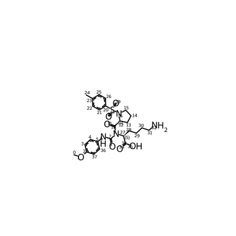 COc1ccc(NC(=O)N(C(=O)[C@@H]2CCCN2S(=O)(=O)c2ccc(C)cc2)[C@@H](CCCCN)C(=O)O)cc1